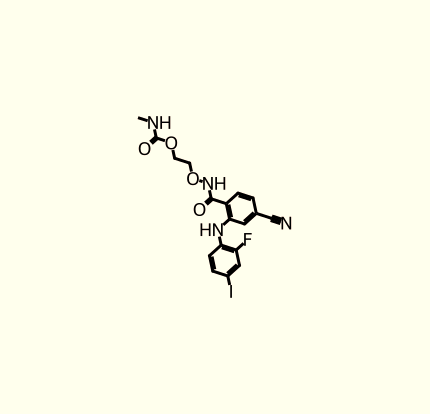 CNC(=O)OCCONC(=O)c1ccc(C#N)cc1Nc1ccc(I)cc1F